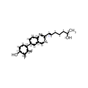 CC(O)CCC/C=C/c1ncc2cc(-c3ccc(O)c(F)c3F)ccc2n1